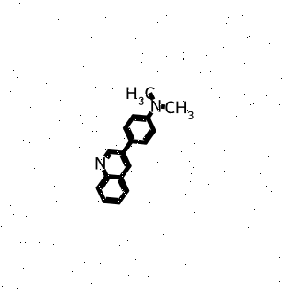 CN(C)c1ccc(-c2cnc3ccccc3c2)cc1